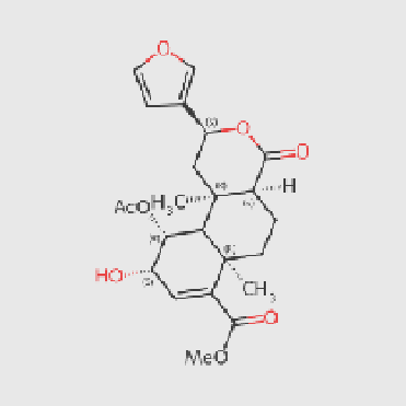 COC(=O)C1=C[C@H](O)[C@H](OC(C)=O)C2[C@@]1(C)CC[C@@H]1C(=O)O[C@H](c3ccoc3)C[C@]21C